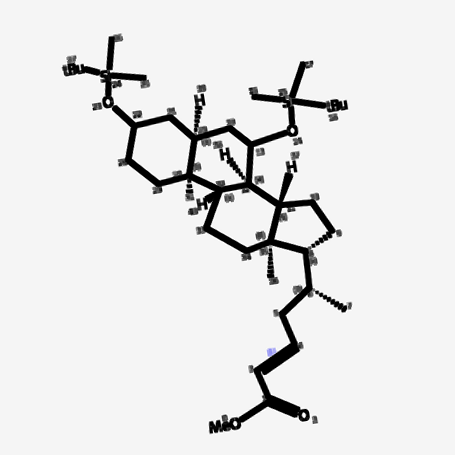 COC(=O)/C=C/C[C@@H](C)[C@H]1CC[C@H]2[C@@H]3C(O[Si](C)(C)C(C)(C)C)C[C@@H]4CC(O[Si](C)(C)C(C)(C)C)CC[C@]4(C)[C@H]3CC[C@]12C